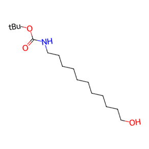 CC(C)(C)OC(=O)NCCCCCCCCCCCO